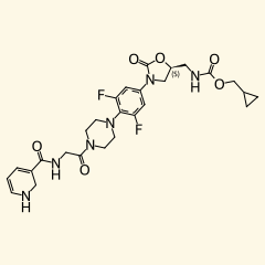 O=C(NC[C@H]1CN(c2cc(F)c(N3CCN(C(=O)CNC(=O)C4=CC=CNC4)CC3)c(F)c2)C(=O)O1)OCC1CC1